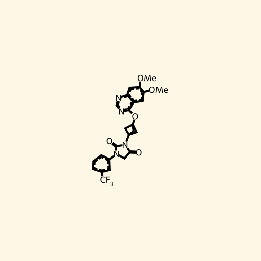 COc1cc2ncnc(OC34CC(N5C(=O)CN(c6cccc(C(F)(F)F)c6)C5=O)(C3)C4)c2cc1OC